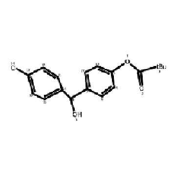 CC(C)(C)C(=O)Oc1ccc(C(O)c2ccc(Cl)cc2)cc1